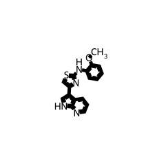 COc1ccccc1Nc1nc(-c2c[nH]c3ncccc23)cs1